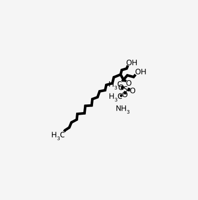 CCCCCCCCCCCCCCCCC(CCO)C(C)(CCO)OS(=O)(=O)OC.N